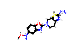 CONc1ccc2oc(N3CCc4nc(N)sc4C3)nc2c1